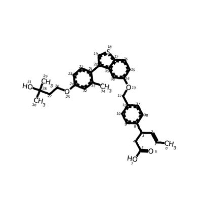 CC=CC(CC(=O)O)c1ccc(COc2ccc3scc(-c4ccc(OCCC(C)(C)O)cc4C)c3c2)cc1